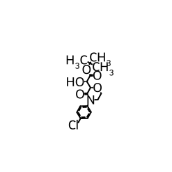 CC(C)(C)OC(=O)[C@H](O)[C@H]1OCCN(c2ccc(Cl)cc2)C1=O